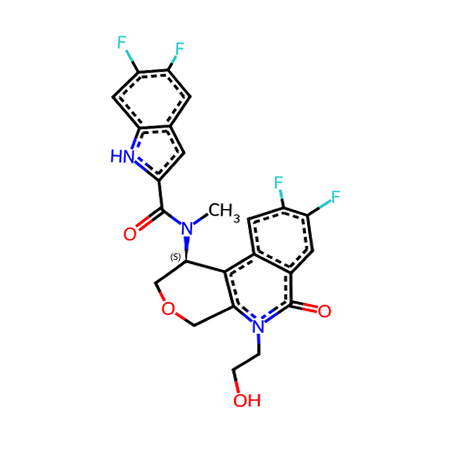 CN(C(=O)c1cc2cc(F)c(F)cc2[nH]1)[C@@H]1COCc2c1c1cc(F)c(F)cc1c(=O)n2CCO